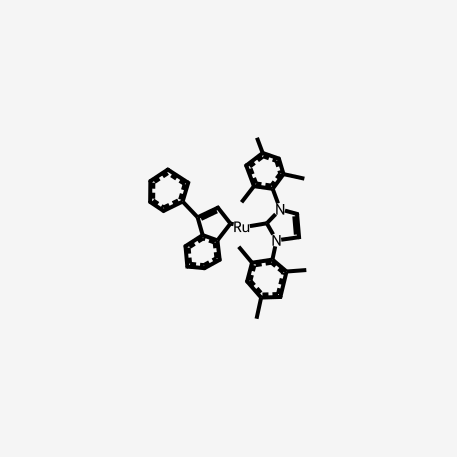 Cc1cc(C)c(N2C=CN(c3c(C)cc(C)cc3C)[CH]2[Ru][CH]2C=C(c3ccccc3)c3ccccc32)c(C)c1